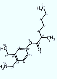 CCCCCC(C)C(=O)Oc1ccc(CN)c(CO)c1